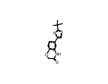 CC(C)(C)c1nc(-c2ccc3c(c2)NC(=O)CO3)cs1